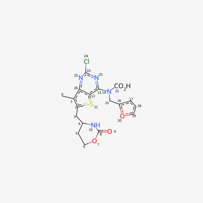 Cc1c(CC2CCOC(=O)N2)sc2c(N(Cc3ccco3)C(=O)O)nc(Cl)nc12